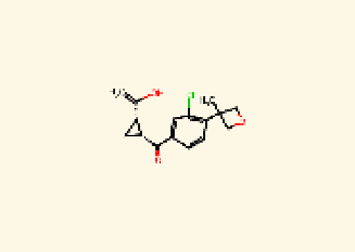 C=C(O)[C@H]1C[C@@H]1C(=O)c1ccc(C2(C)COC2)c(Cl)c1